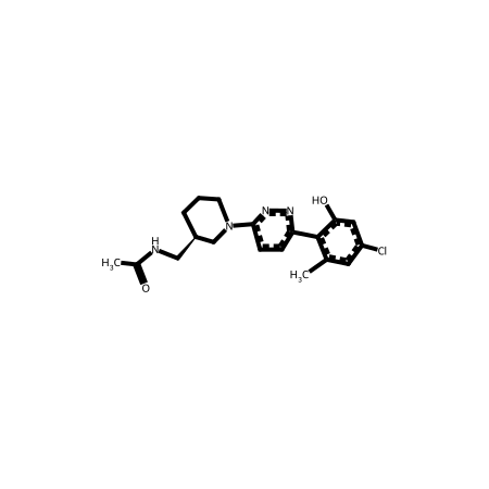 CC(=O)NC[C@H]1CCCN(c2ccc(-c3c(C)cc(Cl)cc3O)nn2)C1